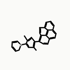 Cc1cc(N2C=CC=CC2)c(C)cc1-c1ccc2ccc3cccc4ccc1c2c34